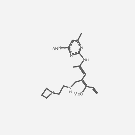 C=C/C(OC)=C(\C=C(/C)Nc1nc(C)cc(NC)n1)CNCCN1CCC1